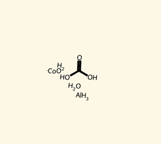 O.O.O=C(O)O.[AlH3].[Co]